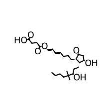 CCCCC(C)(C)[C@H](O)CC[C@H]1[C@H](O)CC(=O)[C@@H]1CCC/C=C/C=C/OC(=O)CCC(=O)O